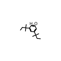 CCC(C)(C)c1cccc(C(C)(C)CC)c1.O